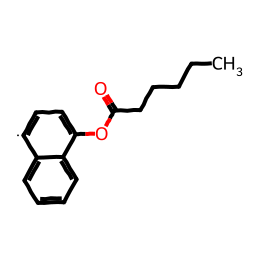 CCCCCC(=O)Oc1cc[c]c2ccccc12